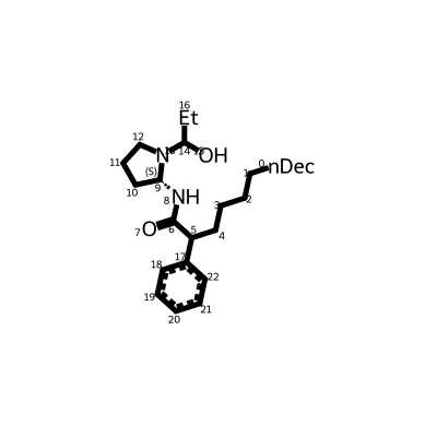 CCCCCCCCCCCCCCC(C(=O)N[C@@H]1CCCN1C(O)CC)c1ccccc1